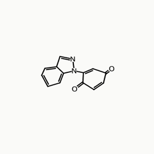 O=C1C=CC(=O)C(n2ncc3ccccc32)=C1